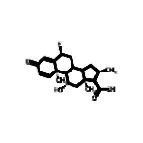 C[C@@H]1CC2C3C[C@H](F)C4=CC(=O)C=C[C@]4(C)C3[C@@H](O)C[C@]2(C)C1C(=O)S